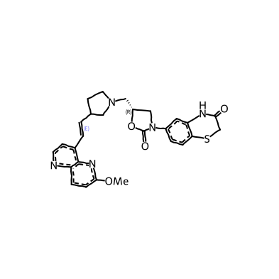 COc1ccc2nccc(/C=C/C3CCN(C[C@@H]4CN(c5ccc6c(c5)NC(=O)CS6)C(=O)O4)C3)c2n1